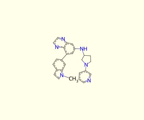 Cn1ccc2ccc(-c3cc(NC4CCN(c5cccnc5)C4)cc4nccnc34)cc21